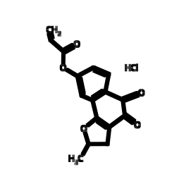 C=CC(=O)Oc1ccc2c(c1)C1=C(CC(C)O1)C(=O)C2=O.Cl